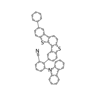 N#Cc1cccc(-n2c3ccccc3c3ccccc32)c1-c1ccc2sc3ccc4c5cc(-c6ccccc6)ccc5sc4c3c2c1